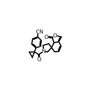 N#Cc1ccc(C2(C(=O)N3CCC4(CC=CC5=COC(=O)C54)C3)CC2)cc1